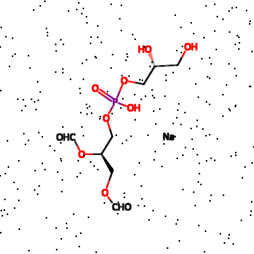 O=COC[C@H](COP(=O)(O)OC[C@H](O)CO)OC=O.[Na]